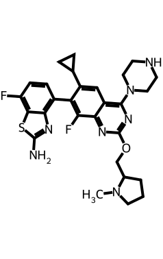 CN1CCCC1COc1nc(N2CCNCC2)c2cc(C3CC3)c(-c3ccc(F)c4sc(N)nc34)c(F)c2n1